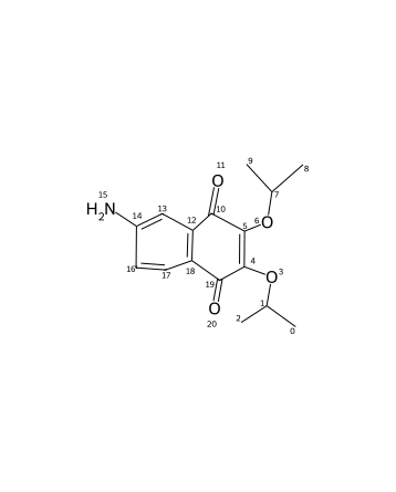 CC(C)OC1=C(OC(C)C)C(=O)c2cc(N)ccc2C1=O